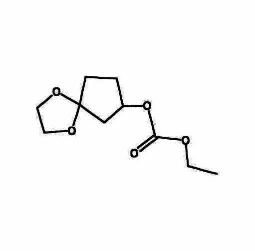 CCOC(=O)OC1CCC2(C1)OCCO2